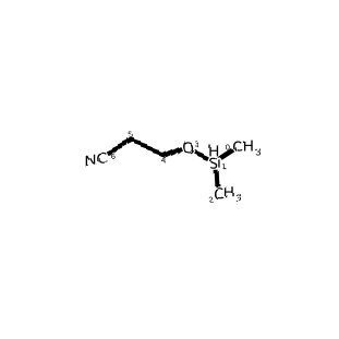 C[SiH](C)OCCC#N